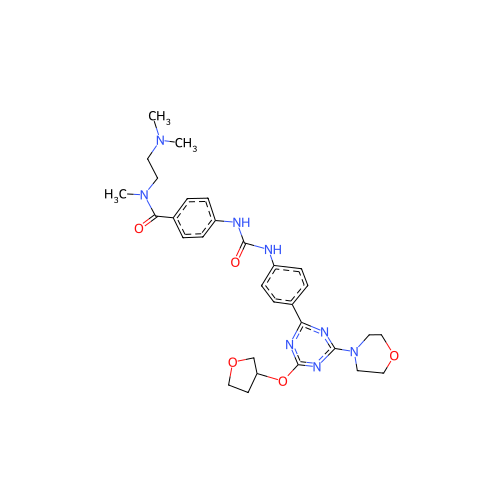 CN(C)CCN(C)C(=O)c1ccc(NC(=O)Nc2ccc(-c3nc(OC4CCOC4)nc(N4CCOCC4)n3)cc2)cc1